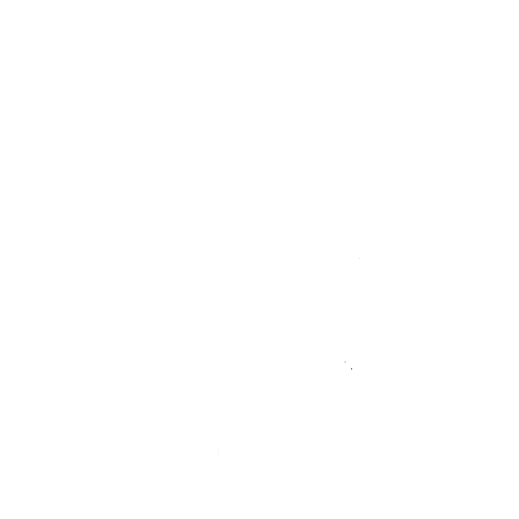 C=CCCN(CC)CCOC1=CC(C)C(/C(=C(/C)CC)c2ccccc2)=C=C1